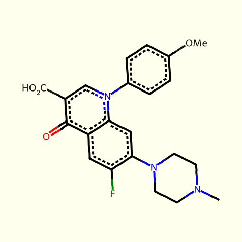 COc1ccc(-n2cc(C(=O)O)c(=O)c3cc(F)c(N4CCN(C)CC4)cc32)cc1